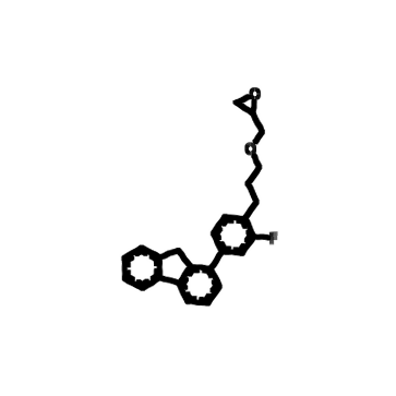 Fc1cc(-c2cccc3c2Cc2ccccc2-3)ccc1CCCOCC1CO1